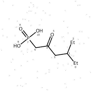 CCC(CC)CC(=O)CP(=O)(O)O